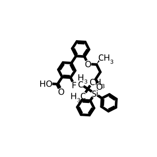 C[C@H](CCO[Si](c1ccccc1)(c1ccccc1)C(C)(C)C)Oc1ccccc1-c1ccc(C(=O)O)c(F)c1